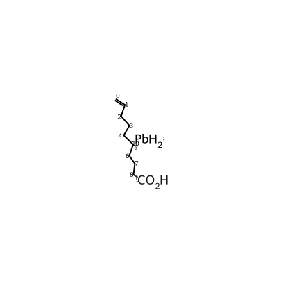 C=CCCCCCCCC(=O)O.[PbH2]